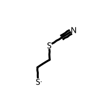 N#CSCC[S]